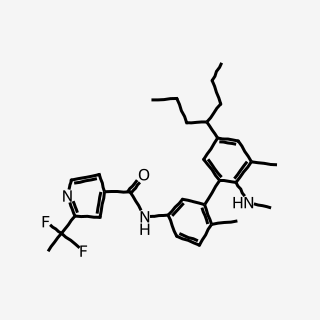 CCCC(CCC)c1cc(C)c(NC)c(-c2cc(NC(=O)c3ccnc(C(C)(F)F)c3)ccc2C)c1